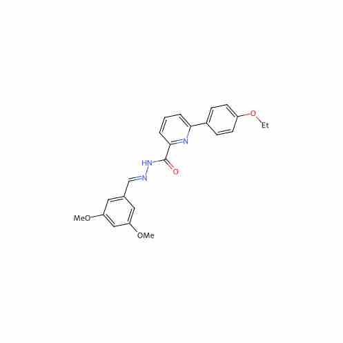 CCOc1ccc(-c2cccc(C(=O)NN=Cc3cc(OC)cc(OC)c3)n2)cc1